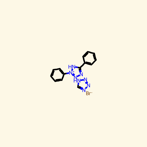 [Br-].c1ccc(-c2nn[n+](-c3ccccc3)[nH]2)cc1.c1nnn[nH]1